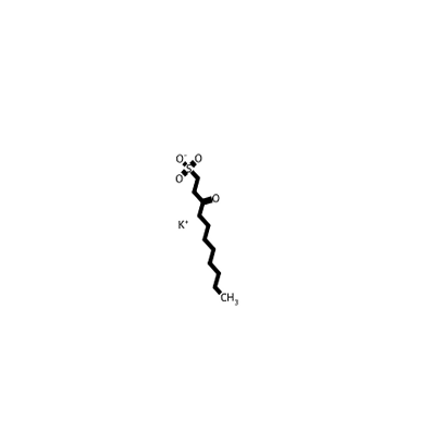 CCCCCCCCC(=O)CCS(=O)(=O)[O-].[K+]